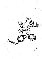 CNC(=O)c1c(NC(=O)c2nc(COC)ccc2Nc2cncnc2)cnn1C